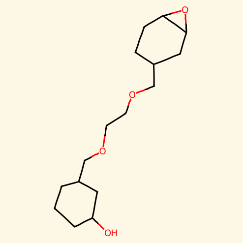 OC1CCCC(COCCOCC2CCC3OC3C2)C1